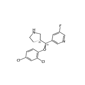 Fc1cncc([C@@H](Oc2ccc(Cl)cc2Cl)[C@@H]2CCNC2)c1